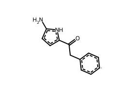 Nc1ccc(C(=O)Cc2cc[c]cc2)[nH]1